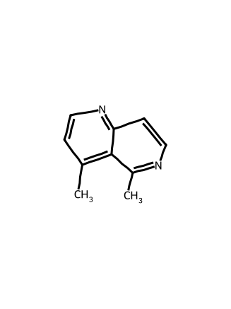 Cc1ccnc2ccnc(C)c12